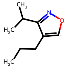 CCCc1[c]onc1C(C)C